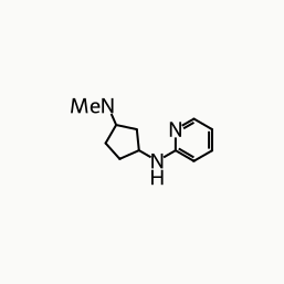 CNC1CCC(Nc2ccccn2)C1